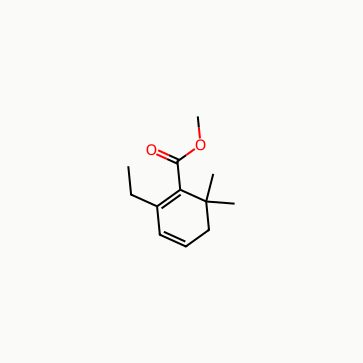 CCC1=C(C(=O)OC)C(C)(C)CC=C1